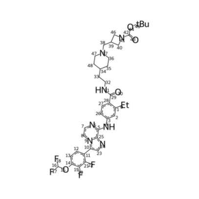 CCc1cc(Nc2nccn3c(-c4ccc(OC(F)F)c(F)c4F)cnc23)ccc1C(=O)NCCC1CCN(CC2CN(C(=O)OC(C)(C)C)C2)CC1